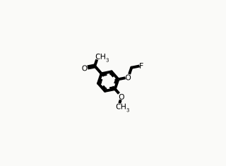 COc1ccc(C(C)=O)cc1OCF